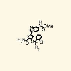 COC(=O)Nc1ccn2c(-c3cc(O[C@@H](C)c4ccccc4Cl)c(C(N)=O)s3)cnc2c1